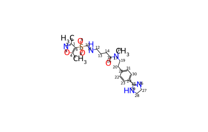 Cc1noc(C)c1S(=O)(=O)CNCCCC(=O)N(C)CCc1ccc(C2=NCCN2)cc1